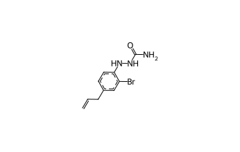 C=CCc1ccc(NNC(N)=O)c(Br)c1